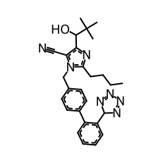 CCCCc1nc(C(O)C(C)(C)C)c(C#N)n1Cc1ccc(-c2ccccc2C2N=NN=N2)cc1